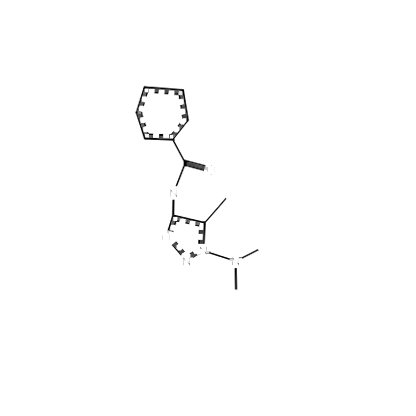 Cc1c([N-]C(=O)c2ccccc2)on[n+]1N(C)C